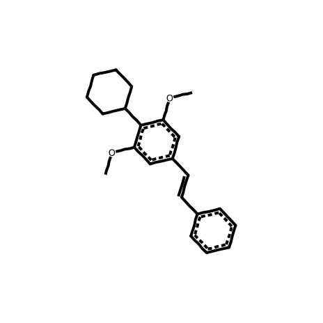 COc1cc(C=Cc2ccccc2)cc(OC)c1C1CCCCC1